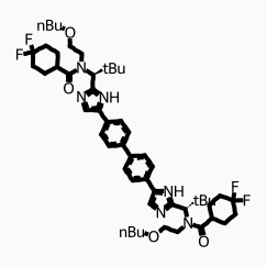 CCCCOCCN(C(=O)C1CCC(F)(F)CC1)[C@H](c1ncc(-c2ccc(-c3ccc(-c4cnc([C@@H](N(CCOCCCC)C(=O)C5CCC(F)(F)CC5)C(C)(C)C)[nH]4)cc3)cc2)[nH]1)C(C)(C)C